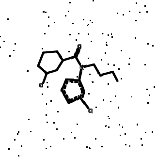 CCCCN(C(=O)C1CCCC(Cl)C1)c1cccc(Cl)c1